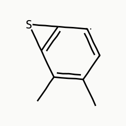 Cc1c[c]c2c(c1C)S2